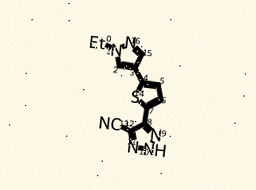 CCn1cc(-c2ccc(-c3n[nH]nc3C#N)s2)cn1